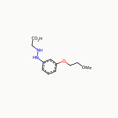 COCCOc1cccc(NNCC(=O)O)c1